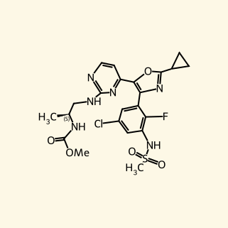 COC(=O)N[C@@H](C)CNc1nccc(-c2oc(C3CC3)nc2-c2cc(Cl)cc(NS(C)(=O)=O)c2F)n1